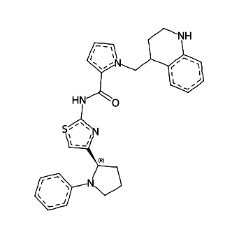 O=C(Nc1nc([C@H]2CCCN2c2ccccc2)cs1)c1cccn1CC1CCNc2ccccc21